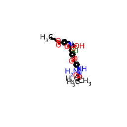 CCCCOC(=O)c1ccc(CN(CC(=O)O)C(=O)CCc2ccc(OC(=O)c3ccc(N/C(N)=N/C(=O)OC(C)(C)C)cc3)cc2Cl)cc1